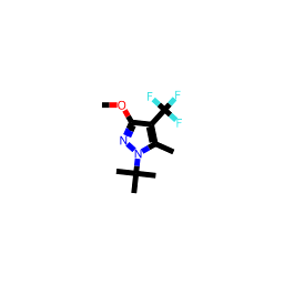 COc1nn(C(C)(C)C)c(C)c1C(F)(F)F